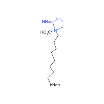 CCCCCCCCCCCCCCCCC[N+](C)(C(=N)N)C(=O)O